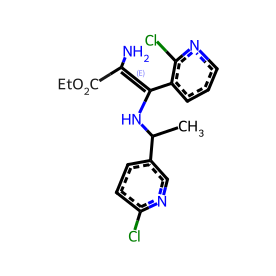 CCOC(=O)/C(N)=C(\NC(C)c1ccc(Cl)nc1)c1cccnc1Cl